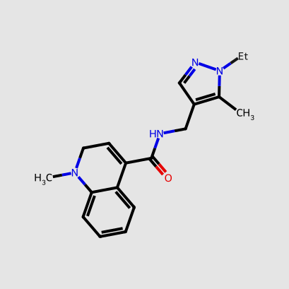 CCn1ncc(CNC(=O)C2=CCN(C)c3ccccc32)c1C